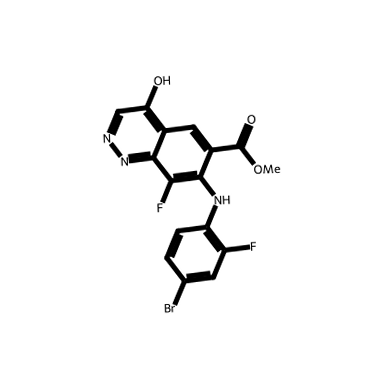 COC(=O)c1cc2c(O)cnnc2c(F)c1Nc1ccc(Br)cc1F